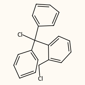 ClCc1ccccc1C(Cl)(c1ccccc1)c1ccccc1